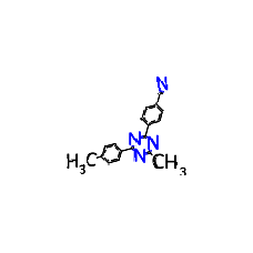 Cc1ccc(-c2nc(C)nc(-c3ccc(C#N)cc3)n2)cc1